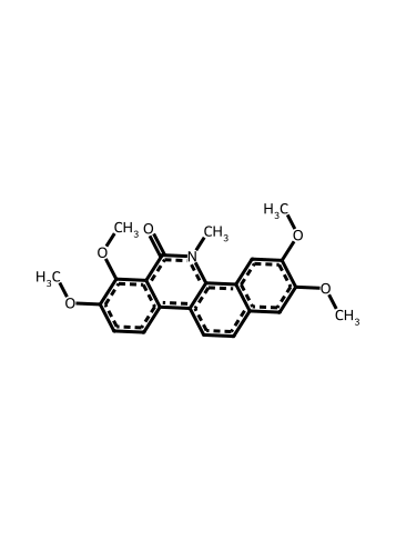 COc1cc2ccc3c4ccc(OC)c(OC)c4c(=O)n(C)c3c2cc1OC